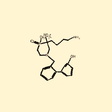 NCCCCC1(C(=O)O)CN(Cc2ccccc2-c2cccc(O)c2)CCP1(=O)O